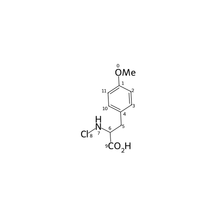 COc1ccc(CC(NCl)C(=O)O)cc1